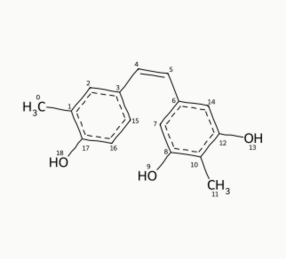 Cc1cc(/C=C\c2cc(O)c(C)c(O)c2)ccc1O